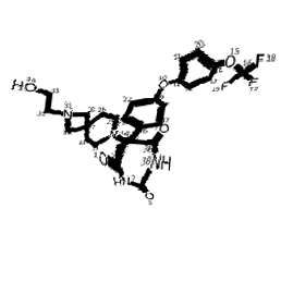 O=C1NC(=O)C(c2ccc(Oc3ccc(OC(F)(F)F)cc3)cc2)(N2CCC3(CC2)CN(CCO)C3)C(=O)N1